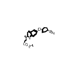 CN(CCC(=O)O)c1ccc2cc(O[C@H]3CC[C@H](C(C)(C)C)CC3)ccc2n1